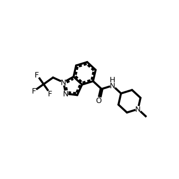 CN1CCC(NC(=O)c2cccc3c2cnn3CC(F)(F)F)CC1